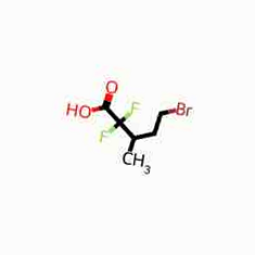 CC(CCBr)C(F)(F)C(=O)O